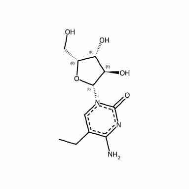 CCc1cn([C@@H]2O[C@H](CO)[C@H](O)[C@H]2O)c(=O)nc1N